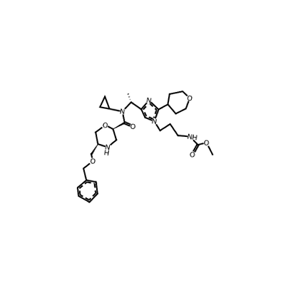 COC(=O)NCCCn1cc([C@@H](C)N(C(=O)[C@H]2CN[C@@H](COCc3ccccc3)CO2)C2CC2)nc1C1CCOCC1